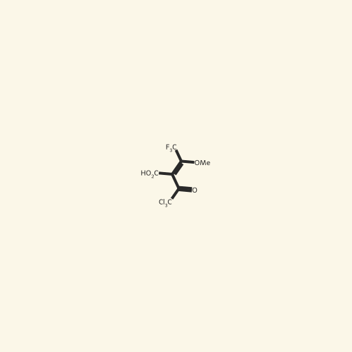 COC(=C(C(=O)O)C(=O)C(Cl)(Cl)Cl)C(F)(F)F